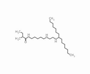 CCCCCCCC(CCCCCCC)NCCNCCCCCNC(=O)C(C)CC